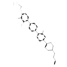 BCOc1ccc(-c2ccc(-c3ccc(C4=CCC(CCC=C)CC4)cc3F)cc2)c(F)c1F